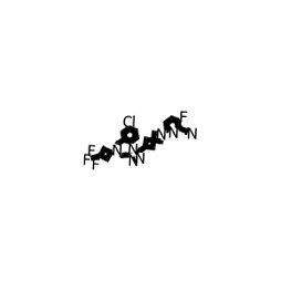 N#Cc1nc(N2CC3(CC(c4nnc5n4-c4ccc(Cl)cc4CN(C4CC(C(F)(F)F)C4)C5)C3)C2)ccc1F